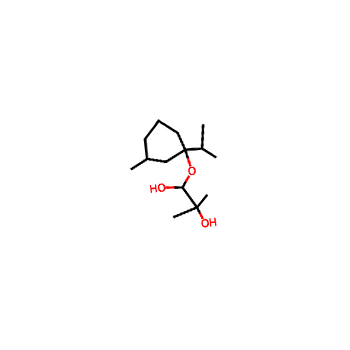 CC1CCCC(OC(O)C(C)(C)O)(C(C)C)C1